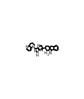 NC1c2ccccc2CC12CCC(c1cnc3c(N4CCCc5ncccc54)n[nH]c3n1)CC2